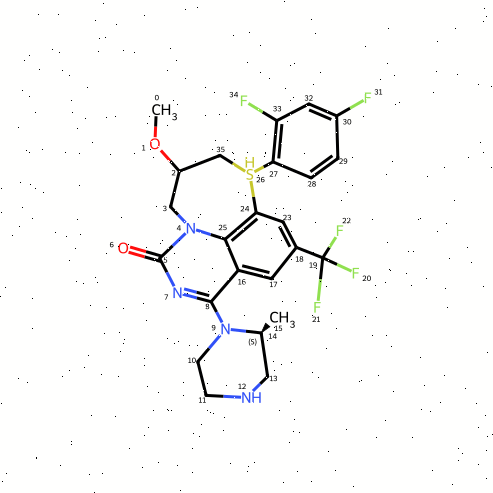 COC1Cn2c(=O)nc(N3CCNC[C@@H]3C)c3cc(C(F)(F)F)cc(c32)[SH](c2ccc(F)cc2F)C1